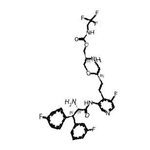 N[C@H](C(=O)Nc1cncc(F)c1CC[C@@H]1CN[C@H](COC(=O)NCC(F)(F)F)CO1)[C@H](c1ccc(F)cc1)c1cccc(F)c1